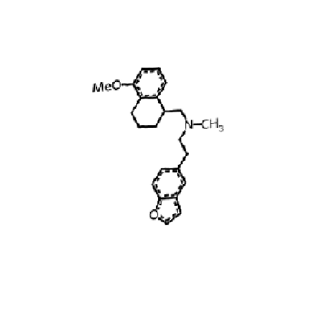 COc1cccc2c1CCCC2CN(C)CCc1ccc2occc2c1